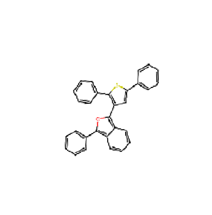 c1ccc(-c2cc(-c3oc(-c4ccccc4)c4ccccc34)c(-c3ccccc3)s2)cc1